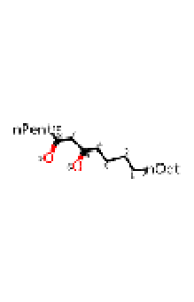 CCCCCCCCCCCCC(=O)CC(=O)CCCCC